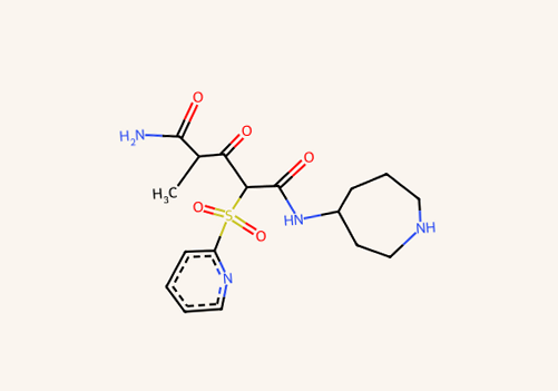 CC(C(N)=O)C(=O)C(C(=O)NC1CCCNCC1)S(=O)(=O)c1ccccn1